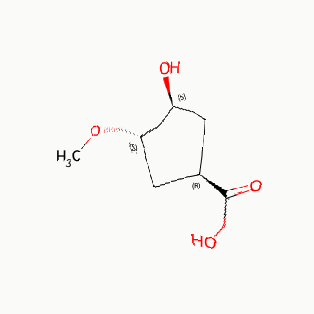 CO[C@H]1C[C@H](C(=O)O)C[C@@H]1O